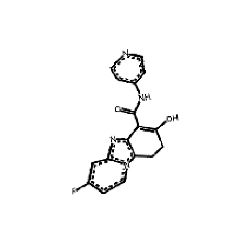 O=C(Nc1ccncc1)C1=C(O)CCc2c1nc1cc(F)ccn21